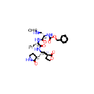 CC(C)C[C@H](NC(=O)[C@H](CNC=O)NC(=O)OCc1ccccc1)C(=O)N[C@H](/C=C1\CCOC1=O)C[C@@H]1CCNC1=O